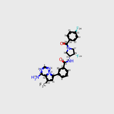 Nc1ncnn2c(-c3cccc(C(=O)N[C@@H]4CN(C(=O)c5ccc(F)cc5)C[C@@H]4F)c3)cc(C(F)(F)F)c12